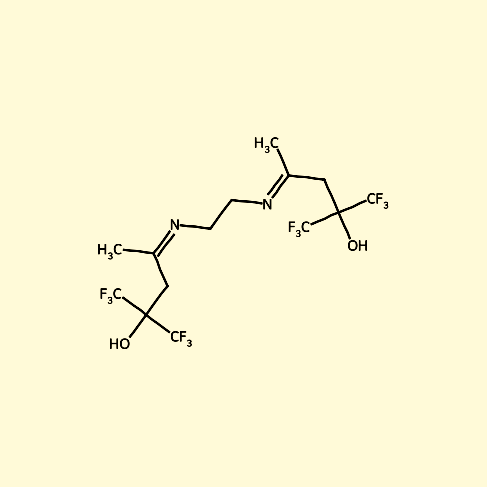 C/C(CC(O)(C(F)(F)F)C(F)(F)F)=N/CC/N=C(\C)CC(O)(C(F)(F)F)C(F)(F)F